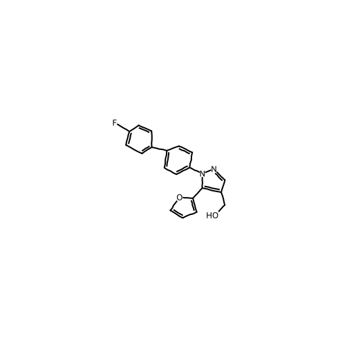 OCc1cnn(-c2ccc(-c3ccc(F)cc3)cc2)c1-c1ccco1